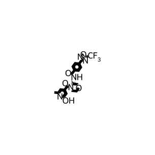 Cc1cc(C(=O)N2CCOC[C@H]2CNC(=O)c2ccc(-c3noc(C(F)(F)F)n3)cc2)cc(O)n1